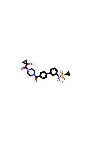 CN(c1cccc(-c2ccc(C(=O)N3CCN(C(=O)C4(O)CC4)CC3)cc2)c1)S(=O)(=O)C1CC1